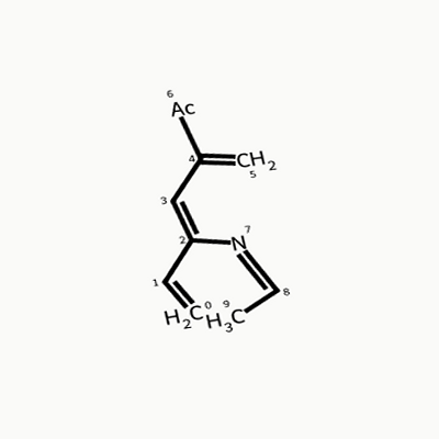 C=CC(=C/C(=C)C(C)=O)/N=C\C